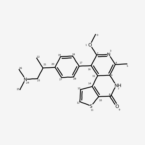 COc1nc(C)c2[nH]c(=O)c3sccc3c2c1-c1ccc(C(C)CN(C)C)cc1